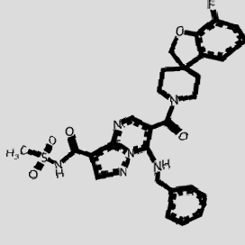 CS(=O)(=O)NC(=O)c1cnn2c(NCc3ccccc3)c(C(=O)N3CCC4(CC3)COc3c(F)cccc34)cnc12